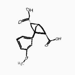 COc1cccc(C23C([C@H]2C(=O)O)[C@H]3C(=O)O)c1